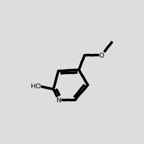 COCc1ccnc(O)c1